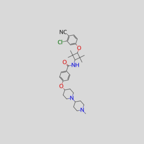 CN1CCC(N2CCC(Oc3ccc(C(=O)NC4C(C)(C)C(Oc5ccc(C#N)c(Cl)c5)C4(C)C)cc3)CC2)CC1